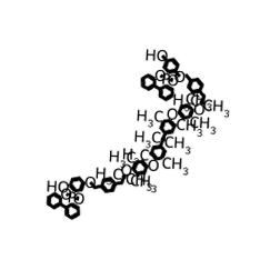 Cc1cc(C(C)(C)c2cc(C)c(Oc3cc(C)c(OC(C)(C)Cc4ccc(COc5ccc(O)cc5P5(=O)Oc6ccccc6-c6ccccc65)cc4)c(C)c3)c(C)c2)cc(C)c1Oc1cc(C)c(OC(C)(C)Cc2ccc(COc3ccc(O)c(P4(=O)Oc5ccccc5-c5ccccc54)c3)cc2)c(C)c1